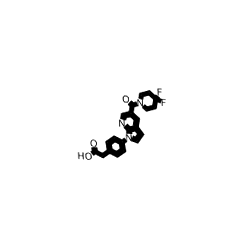 O=C(O)Cc1ccc(-n2ccc3cc(C(=O)N4CCC(F)(F)CC4)cnc32)cc1